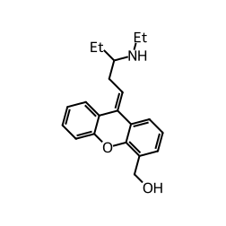 CCNC(CC)C/C=C1\c2ccccc2Oc2c(CO)cccc21